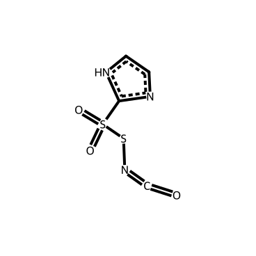 O=C=NSS(=O)(=O)c1ncc[nH]1